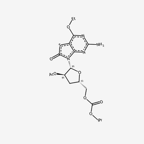 CCOc1nc(N)nc2c1sc(=O)n2[C@@H]1O[C@H](COC(=O)OC(C)C)C[C@H]1OC(C)=O